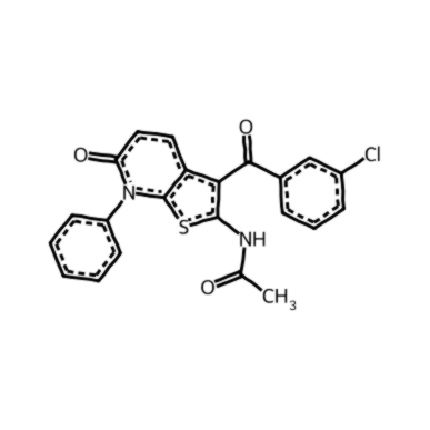 CC(=O)Nc1sc2c(ccc(=O)n2-c2ccccc2)c1C(=O)c1cccc(Cl)c1